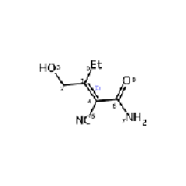 CC/C(CO)=C(/C#N)C(N)=O